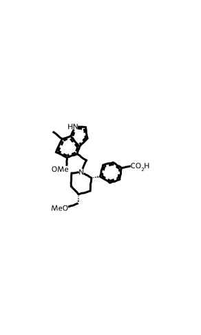 COC[C@@H]1CCN(Cc2c(OC)cc(C)c3[nH]ccc23)[C@H](c2ccc(C(=O)O)cc2)C1